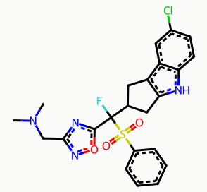 CN(C)Cc1noc(C(F)(C2Cc3[nH]c4ccc(Cl)cc4c3C2)S(=O)(=O)c2ccccc2)n1